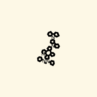 c1ccc(N2CCN(c3ccccc3)c3cc4c(cc32)-c2ccccc2-c2cc(-n3c5ccccc5c5cc(-n6c7ccccc7c7ccccc76)ccc53)ccc2-c2cccnc2-4)cc1